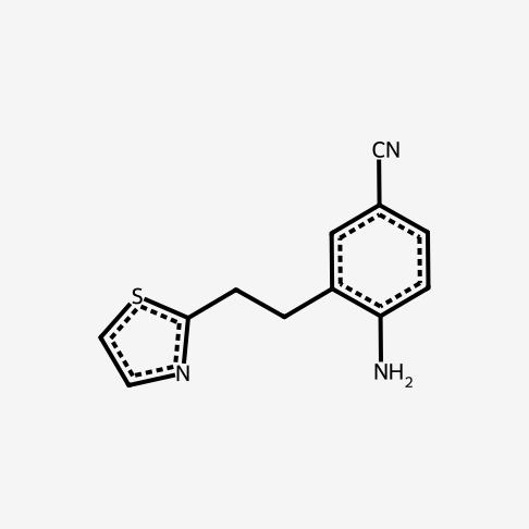 N#Cc1ccc(N)c(CCc2nccs2)c1